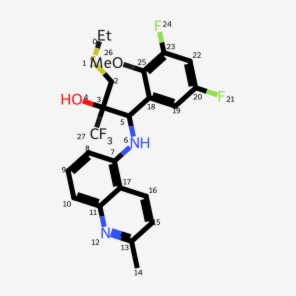 CCSCC(O)(C(Nc1cccc2nc(C)ccc12)c1cc(F)cc(F)c1OC)C(F)(F)F